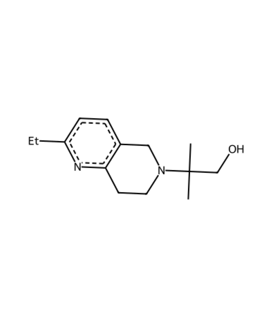 CCc1ccc2c(n1)CCN(C(C)(C)CO)C2